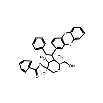 O=C(O[C@]1(O)CO[C@H](CO)[C@](O)(C(Cc2ccccc2)c2ccc3c(c2)Sc2ccccc2S3)[C@@H]1O)c1ccccc1